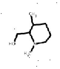 CC1CCCN(C)C1CO